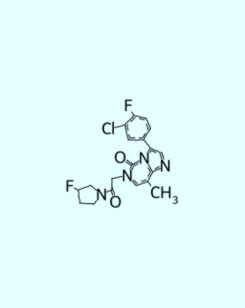 Cc1cn(CC(=O)N2CCC(F)C2)c(=O)n2c(-c3ccc(F)c(Cl)c3)cnc12